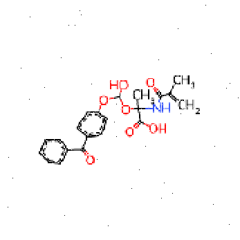 C=C(C)C(=O)NC(C)(OC(O)Oc1ccc(C(=O)c2ccccc2)cc1)C(=O)O